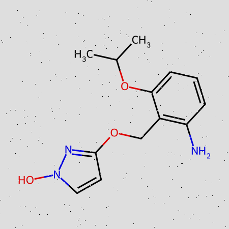 CC(C)Oc1cccc(N)c1COc1ccn(O)n1